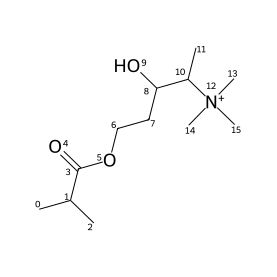 CC(C)C(=O)OCCC(O)C(C)[N+](C)(C)C